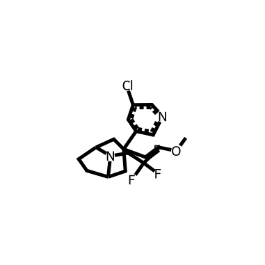 COC=CC1(c2cncc(Cl)c2)CC2CCC(C1)N2CC(F)(F)F